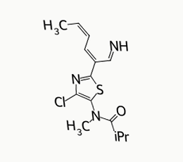 C/C=C\C=C(/C=N)c1nc(Cl)c(N(C)C(=O)C(C)C)s1